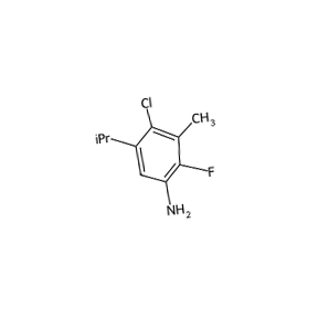 Cc1c(F)c(N)cc(C(C)C)c1Cl